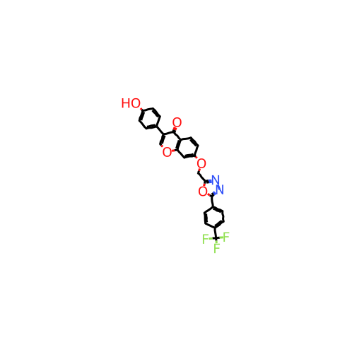 O=c1c(-c2ccc(O)cc2)coc2cc(OCc3nnc(-c4ccc(C(F)(F)F)cc4)o3)ccc12